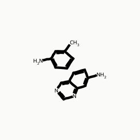 Cc1cccc(N)c1.Nc1ccc2cncnc2c1